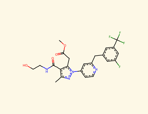 COC(=O)Cc1c(C(=O)NCCO)c(C)nn1-c1ccnc(Cc2cc(F)cc(C(F)(F)F)c2)c1